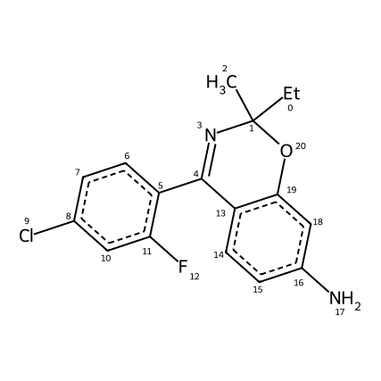 CCC1(C)N=C(c2ccc(Cl)cc2F)c2ccc(N)cc2O1